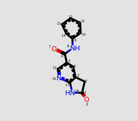 O=C1Cc2cc(C(=O)Nc3ccccc3)cnc2N1